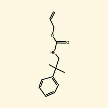 C=CCOC(=O)NCC(C)(C)c1ccccc1